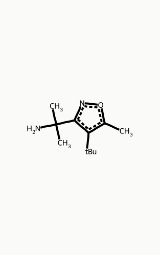 Cc1onc(C(C)(C)N)c1C(C)(C)C